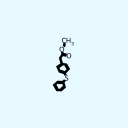 CCOC(=O)Cc1ccc(Sc2ccccc2)cc1